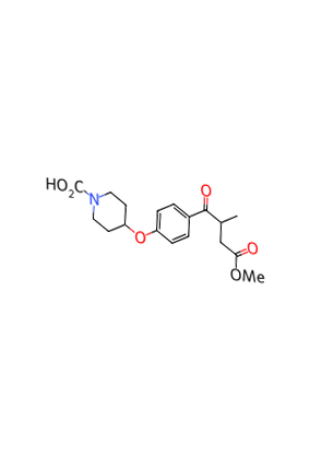 COC(=O)CC(C)C(=O)c1ccc(OC2CCN(C(=O)O)CC2)cc1